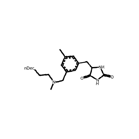 CCCCCCCCCCCCN(C)Cc1cc(C)cc(CC2NC(=O)NC2=O)c1